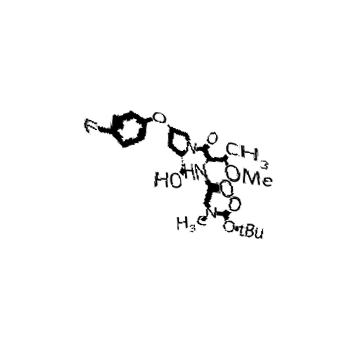 CO[C@H](C)[C@H](NC(=O)CN(C)C(=O)OC(C)(C)C)C(=O)N1C[C@@H](Oc2ccc(F)cc2)C[C@H]1CO